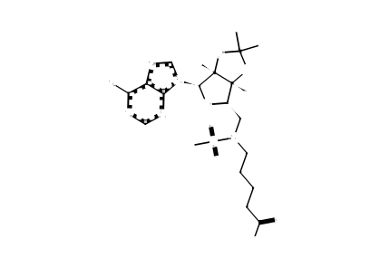 CC1(C)O[C@@H]2[C@H](O1)[C@@H](CN(CCCCC(=O)O)S(C)(=O)=O)O[C@H]2n1cnc2c(N)ncnc21